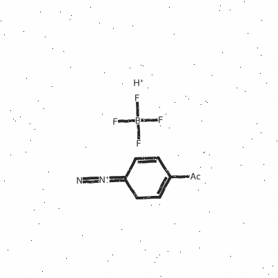 CC(=O)C1=CCC(=[N+]=[N-])C=C1.F[B-](F)(F)F.[H+]